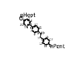 CCCCCCCOc1ccc(-c2ccc(CCc3ccc(CCCCC)cc3)cc2)nc1